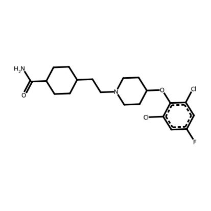 NC(=O)C1CCC(CCN2CCC(Oc3c(Cl)cc(F)cc3Cl)CC2)CC1